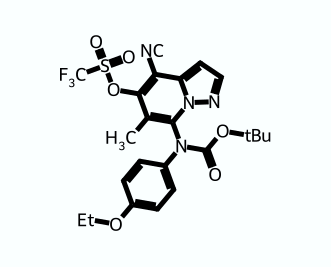 CCOc1ccc(N(C(=O)OC(C)(C)C)c2c(C)c(OS(=O)(=O)C(F)(F)F)c(C#N)c3ccnn23)cc1